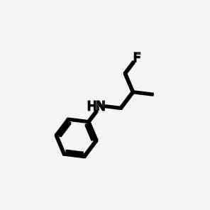 CC(CF)CNc1ccccc1